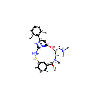 Cc1cccc(C)c1-c1cc2nc(n1)NSc1cccc(c1)C(=O)N(C)C[C@@H](CN(C)C)O2